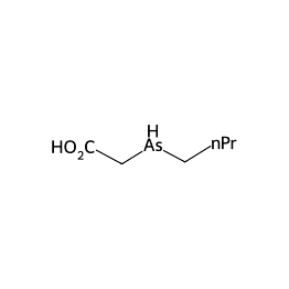 CCCC[AsH]CC(=O)O